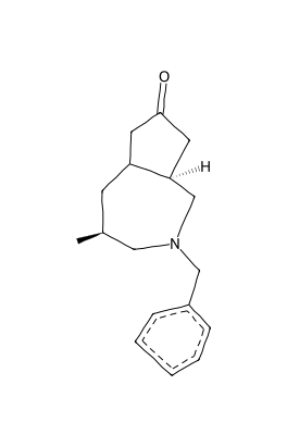 C[C@H]1CC2CC(=O)C[C@H]2CN(Cc2ccccc2)C1